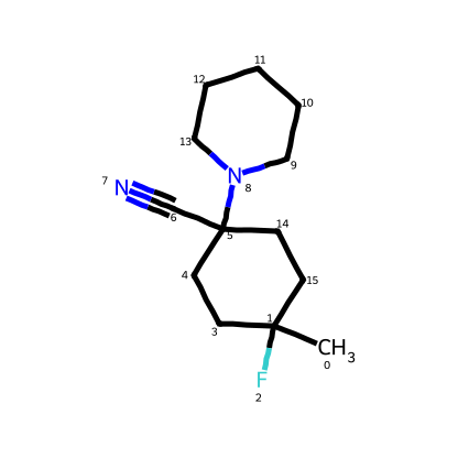 CC1(F)CCC(C#N)(N2CCCCC2)CC1